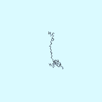 CCCOCCCCCCCCCCCCC[Si](C)(C)CC